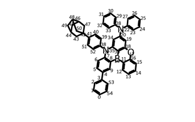 c1ccc(-c2ccc3c(c2)B2c4ccccc4Oc4cc(N(c5ccccc5)c5ccccc5)cc(c42)N3c2ccc(C34CC5CC(C3)C(C5)C4)cc2)cc1